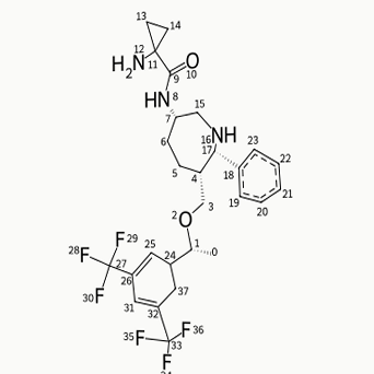 C[C@@H](OC[C@@H]1CC[C@H](NC(=O)C2(N)CC2)CN[C@@H]1c1ccccc1)C1C=C(C(F)(F)F)C=C(C(F)(F)F)C1